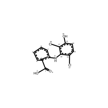 O=C(O)c1ccccc1Nc1c(Cl)ccc(O)c1Cl